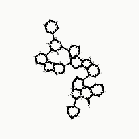 O=c1c2ccccc2c2c(-c3cccc4oc5ccc(-c6ccc7oc8cccc(-c9nc(-c%10ccccc%10)nc(-c%10ccccc%10)n9)c8c7c6)cc5c34)ccc3nc(-c4ccccc4)n1c32